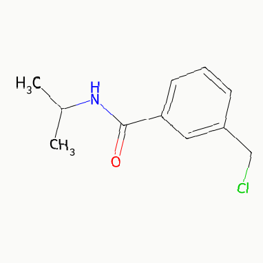 CC(C)NC(=O)c1cccc(CCl)c1